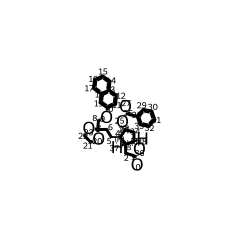 O=C1C[C@@H]2[C@@H](CCC3(COc4ccc5ccccc5c4)OCCO3)[C@H](OC(=O)c3ccccc3)C[C@@H]2O1